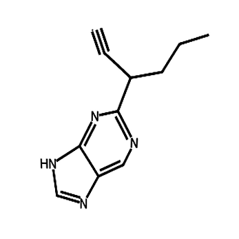 [C]#CC(CCC)c1ncc2nc[nH]c2n1